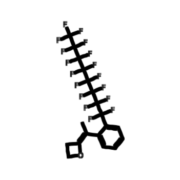 CC(=C1CCO1)c1ccccc1C(F)(F)C(F)(F)C(F)(F)C(F)(F)C(F)(F)C(F)(F)C(F)(F)C(F)(F)F